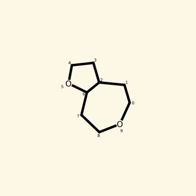 C1CC2CCOC2CCO1